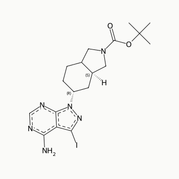 CC(C)(C)OC(=O)N1CC2CC[C@@H](n3nc(I)c4c(N)ncnc43)C[C@@H]2C1